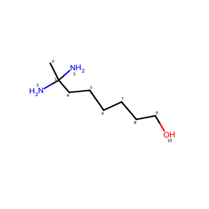 CC(N)(N)CCCCCCO